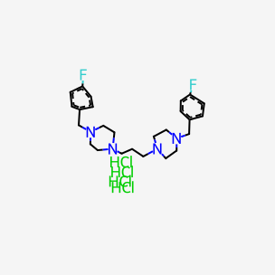 Cl.Cl.Cl.Cl.Fc1ccc(CN2CCN(CCCN3CCN(Cc4ccc(F)cc4)CC3)CC2)cc1